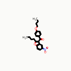 CCCCOc1ccc(C(=O)c2c(CCCC)oc3ccc([N+](=O)[O-])cc23)cc1